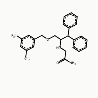 NC(=O)CNC(COCc1cc(C(F)(F)F)cc(C(F)(F)F)c1)C(c1ccccc1)c1ccccc1